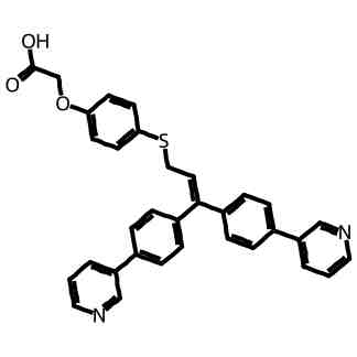 O=C(O)COc1ccc(SCC=C(c2ccc(-c3cccnc3)cc2)c2ccc(-c3cccnc3)cc2)cc1